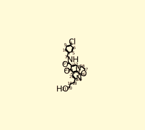 O=C(NCc1ccc(Cl)cc1)c1cn2c3c(nc(CCCO)cc3c1=O)OCC2